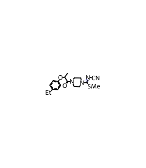 CCc1ccc(OC(C)C(=O)N2CCN(/C(=N/C#N)SC)CC2)cc1